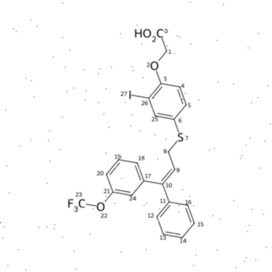 O=C(O)COc1ccc(SC/C=C(/c2ccccc2)c2cccc(OC(F)(F)F)c2)cc1I